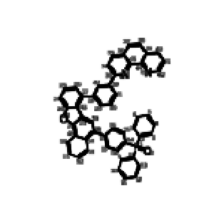 O=P(c1ccccc1)(c1ccccc1)c1ccc(-c2cc3c(oc4cccc(-c5cccc(-c6ccc7ccc8cccnc8c7n6)c5)c43)c3ccccc23)cc1